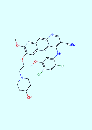 COc1cc(Nc2c(C#N)cnc3cc4cc(OC)c(OCCN5CCC(O)CC5)cc4cc23)c(Cl)cc1Cl